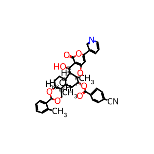 Cc1ccccc1C1OC[C@@]2(C)[C@@H]3C[C@H](OC(=O)c4ccc(C#N)cc4)[C@@]4(C)Oc5cc(-c6cccnc6)oc(=O)c5[C@H](O)[C@@H]4[C@@]3(C)CC[C@@H]2O1